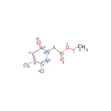 CCOC(=O)Cn1nc(Cl)c(Cl)cc1=O